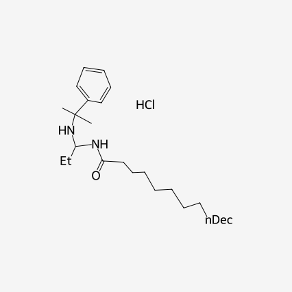 CCCCCCCCCCCCCCCCCC(=O)NC(CC)NC(C)(C)c1ccccc1.Cl